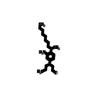 CCCCCCCCN(C)c1ccc(N(CCC)CCCl)cc1N